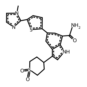 Cn1ccnc1-c1ccc(-c2cc(C(N)=O)c3[nH]cc(C4CCS(=O)(=O)CC4)c3c2)s1